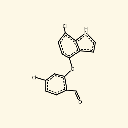 O=Cc1ccc(Cl)cc1Oc1ccc(Cl)c2[nH]ccc12